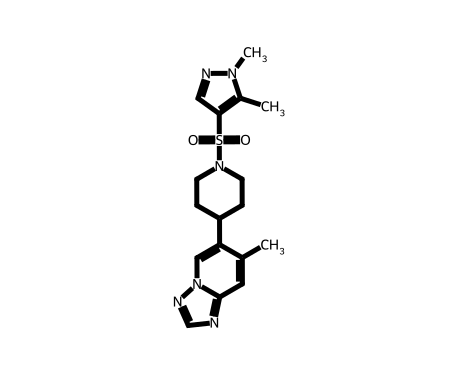 Cc1cc2ncnn2cc1C1CCN(S(=O)(=O)c2cnn(C)c2C)CC1